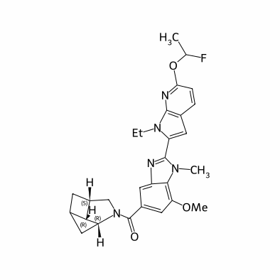 CCn1c(-c2nc3cc(C(=O)N4C[C@H]5CC6C[C@@H]4[C@H]65)cc(OC)c3n2C)cc2ccc(OC(C)F)nc21